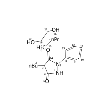 CCCC.CCCCC1C(=O)NN(c2ccccc2)C1=O.OCCO